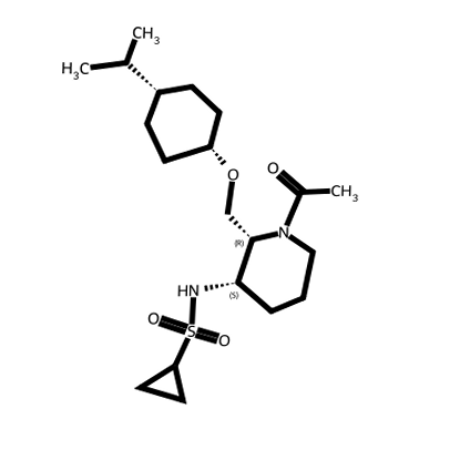 CC(=O)N1CCC[C@H](NS(=O)(=O)C2CC2)[C@@H]1CO[C@H]1CC[C@@H](C(C)C)CC1